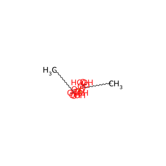 CCCCCCCCCCCCCCCCCC(OC(=O)CC(C(=O)OC(CCCCCCCCCCCCCCCCC)C(CC(=O)O)C(=O)O)S(=O)(=O)O)C(CC(=O)O)C(=O)O